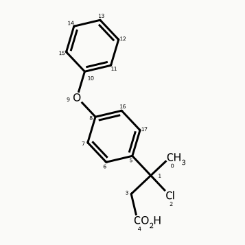 CC(Cl)(CC(=O)O)c1ccc(Oc2ccccc2)cc1